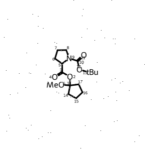 COC1(OC(=O)C2CCCN2C(=O)OC(C)(C)C)CCCC1